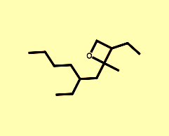 CCCCC(CC)CC1(C)OCC1CC